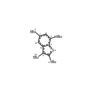 CC(C)(C)c1cc(C(C)(C)C)c2sc(C(C)(C)C)c(C(C)(C)C)c2c1